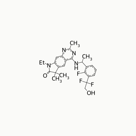 CCN1C(=O)C(C)(C)c2cc3c(NC(C)c4cccc(C(F)(F)CO)c4F)nc(C)nc3cc21